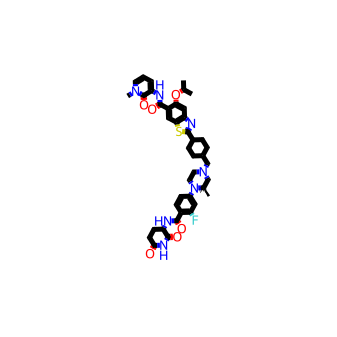 CC(C)Oc1cc2nc(C3CCC(CN4CCN(c5ccc(C(=O)NC6CCC(=O)NC6=O)c(F)c5)[C@H](C)C4)CC3)sc2cc1C(=O)Nc1cccn(C)c1=O